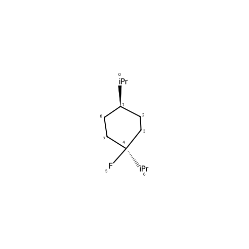 CC(C)[C@H]1CC[C@](F)(C(C)C)CC1